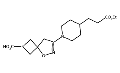 CCOC(=O)CCC1CCN(C2=NOC3(C2)CN(C(=O)O)C3)CC1